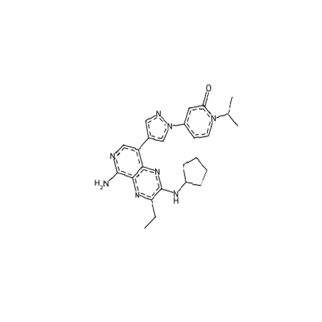 CCc1nc2c(N)ncc(-c3cnn(-c4ccn(C(C)C)c(=O)c4)c3)c2nc1NC1CCCC1